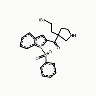 CC(C)(C)CCC1(C(=O)c2cc3ccccc3n2S(=O)(=O)c2ccccc2)CCNC1